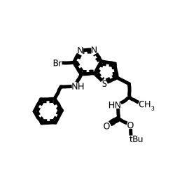 CC(Cc1cc2nnc(Br)c(NCc3ccccc3)c2s1)NC(=O)OC(C)(C)C